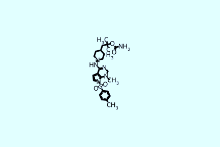 Cc1ccc(S(=O)(=O)n2ccc3c2N(C)CN=C3NN2CCC(CC(C)(C)OC(N)=O)CC2)cc1